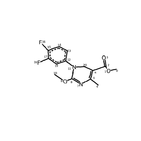 COC(=O)C1=C(C)N=C(OC)N(c2ccc(F)c(F)c2)C1